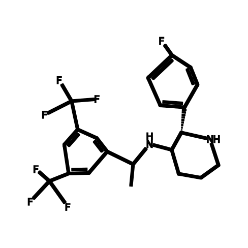 CC(NC1CCCN[C@H]1c1ccc(F)cc1)c1cc(C(F)(F)F)cc(C(F)(F)F)c1